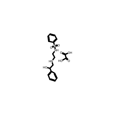 O=C(O)C(=O)O.O=S(=O)(NCCNCC(O)c1ccccc1)c1ccccc1